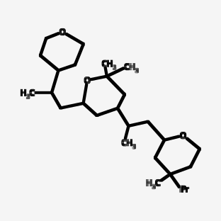 CC(CC1CC(C(C)CC2CC(C)(C(C)C)CCO2)CC(C)(C)O1)C1CCOCC1